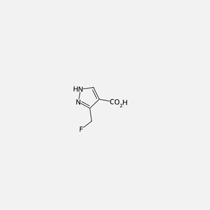 O=C(O)c1c[nH]nc1CF